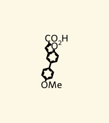 COc1ccc(-c2ccc3oc(C(=O)O)cc3c2)cc1